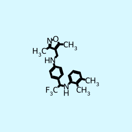 Cc1cccc(NC(c2ccc(NCc3c(C)noc3C)cc2)C(F)(F)F)c1C